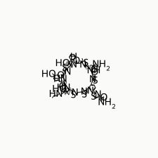 CCCNC[C@H](O)[C@H](C)[C@@H]1NC(=O)[C@H](Cc2ccc(O)cc2)NC(=O)c2csc(n2)[C@H]([C@H](O)c2ccccc2)NC(=O)c2nc(sc2C)[C@H](CC(N)=O)NC(=O)c2csc(n2)-c2ccc(-c3nc(C(N)=O)cs3)nc2-c2csc(n2)-c2csc1n2